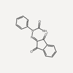 NC(=O)N(N=c1c(=O)c2ccccc2c1=O)c1ccccc1